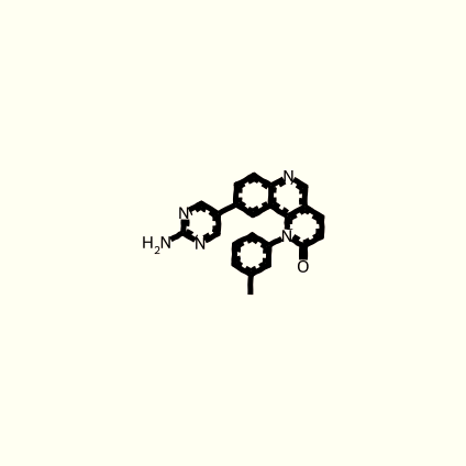 Cc1cccc(-n2c(=O)ccc3cnc4ccc(-c5cnc(N)nc5)cc4c32)c1